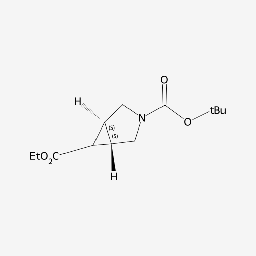 CCOC(=O)C1[C@H]2CN(C(=O)OC(C)(C)C)C[C@H]12